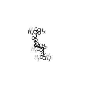 CC(C)(C)OCc1ccc(C(C)(C)c2ccc(COC(=O)CCC(=O)C(C)(C)C)o2)o1